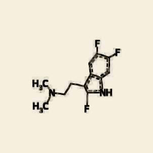 CN(C)CCc1c(F)[nH]c2cc(F)c(F)cc12